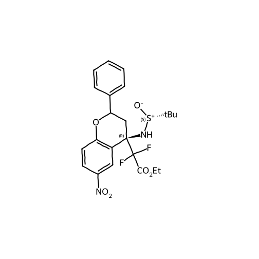 CCOC(=O)C(F)(F)[C@@]1(N[S@+]([O-])C(C)(C)C)CC(c2ccccc2)Oc2ccc([N+](=O)[O-])cc21